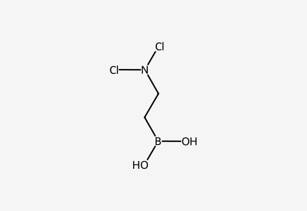 OB(O)CCN(Cl)Cl